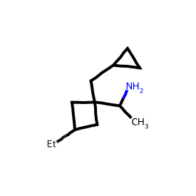 CCC1CC(CC2CC2)(C(C)N)C1